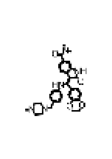 CN1CCN(Cc2ccc(NC(=C3C(=O)Nc4cc(C(=O)N(C)C)ccc43)c3ccc4c(c3)OCCO4)cc2)CC1